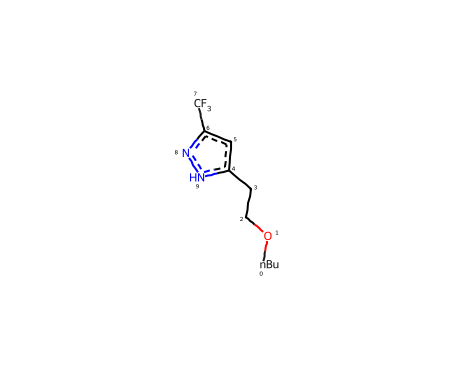 CCCCOCCc1cc(C(F)(F)F)n[nH]1